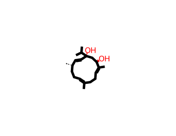 C/C1=C\CC[C@H](C)/C=C/[C@@](O)(C(C)C)CC(O)/C(C)=C/CC1